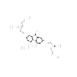 CCCCN(C)CCOc1ccc2c(c1)C(=O)c1cc(OCCN(C)CCCC)ccc1-2.Cl.Cl